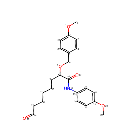 COc1ccc(COC(CCCCCC=O)C(=O)Nc2ccc(OC)cc2)cc1